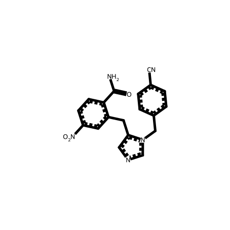 N#Cc1ccc(Cn2cncc2Cc2cc([N+](=O)[O-])ccc2C(N)=O)cc1